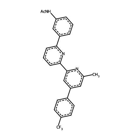 CC(=O)Nc1cccc(-c2cccc(-c3cc(-c4ccc(C(F)(F)F)cc4)cc(C)n3)n2)c1